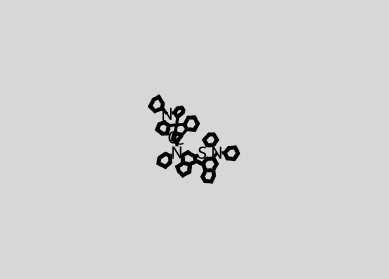 c1ccc(N2c3ccccc3C3(c4ccccc4-c4cc(N(c5ccccc5)c5cc6sc7c(N(c8ccccc8)c8ccccc8)cc8ccccc8c7c6c6ccccc56)ccc43)c3ccccc32)cc1